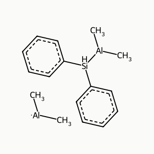 [CH3][Al]([CH3])[SiH](c1ccccc1)c1ccccc1.[CH3][Al][CH3]